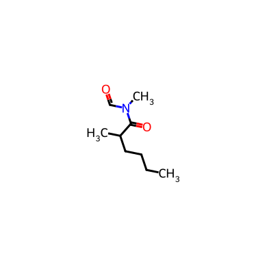 CCCCC(C)C(=O)N(C)C=O